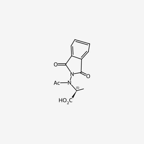 CC(=O)N([C@@H](C)C(=O)O)N1C(=O)c2ccccc2C1=O